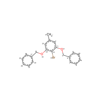 [CH2]c1cc(OCc2ccccc2)c(Br)c(OCc2ccccc2)c1